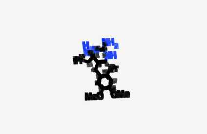 COc1cc(CC2=CNC(N)=NC2(N)CC(C)C)c(C(C)C)cc1OC